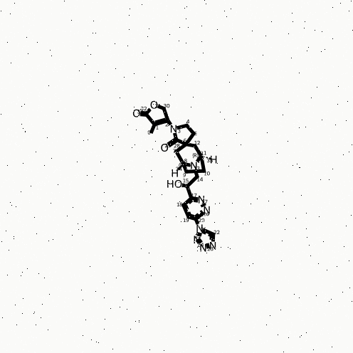 CC1=C(N2CCC3(C[C@H]4CC[C@H](C3)N4CC(O)c3ccc(-n4cnnn4)nn3)C2=O)COC1=O